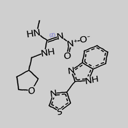 CN/C(=N/[N+](=O)[O-])NCC1CCOC1.c1ccc2[nH]c(-c3cscn3)nc2c1